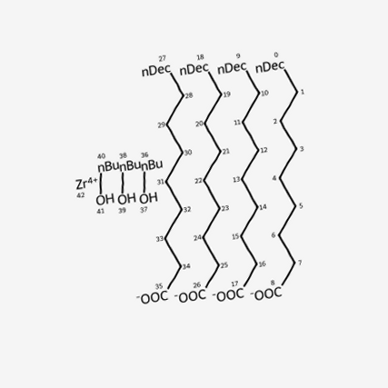 CCCCCCCCCCCCCCCCCC(=O)[O-].CCCCCCCCCCCCCCCCCC(=O)[O-].CCCCCCCCCCCCCCCCCC(=O)[O-].CCCCCCCCCCCCCCCCCC(=O)[O-].CCCCO.CCCCO.CCCCO.[Zr+4]